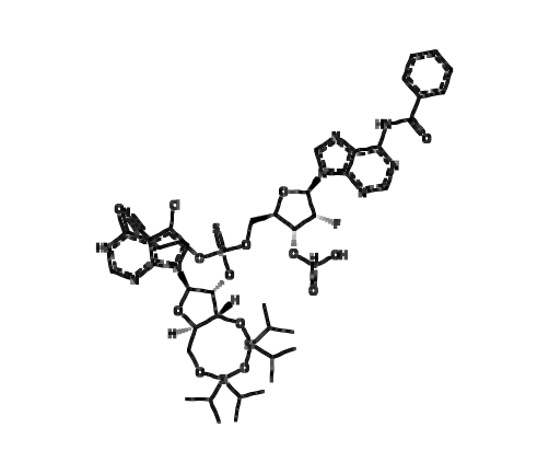 CC(C)[Si]1(C(C)C)OC[C@H]2O[C@@H](n3cc(Cl)c4c(=O)[nH]cnc43)[C@H](OP(=S)(OCCC#N)OC[C@H]3O[C@@H](n4cnc5c(NC(=O)c6ccccc6)ncnc54)[C@H](F)[C@@H]3O[PH](=O)O)[C@@H]2O[Si](C(C)C)(C(C)C)O1